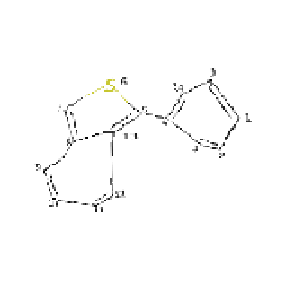 [c]1cccc(-c2scc3ccccc23)c1